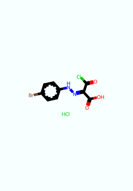 Cl.O=C(O)C(=NNc1ccc(Br)cc1)C(=O)Cl